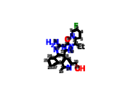 CCC(c1ccc(F)cn1)n1nc2c(-c3cc(C)nc(CO)c3)c(-c3ccccc3)nc(N)n2c1=O